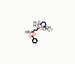 CCCCC(CCCON1C(C)(C)CCCC1(C)C)OC(=O)c1ccccc1